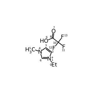 CC[n+]1ccn(C)c1.O=C(O)C(F)(F)F